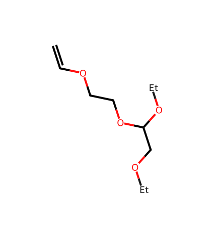 [CH2]COCC(OCC)OCCOC=C